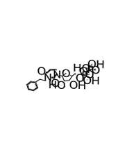 O=c1ccn(C2OC(COP(=O)(O)OP(=O)(O)O)C(O)[C@@H]2O)c(=O)n1CCc1ccccc1